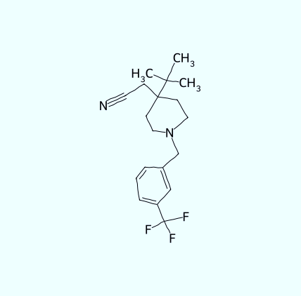 CC(C)(C)C1(CC#N)CCN(Cc2cccc(C(F)(F)F)c2)CC1